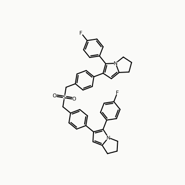 O=S(=O)(Cc1ccc(-c2cc3n(c2-c2ccc(F)cc2)CCC3)cc1)Cc1ccc(-c2cc3n(c2-c2ccc(F)cc2)CCC3)cc1